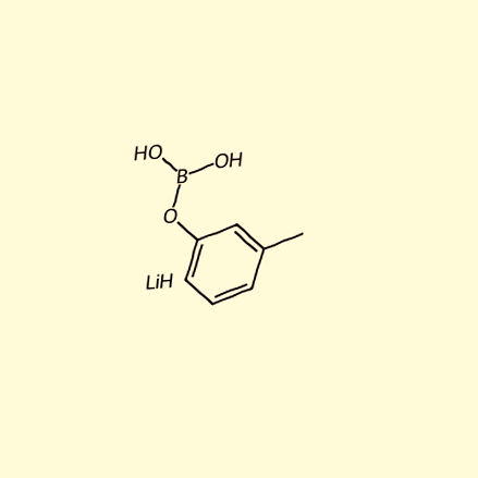 Cc1cccc(OB(O)O)c1.[LiH]